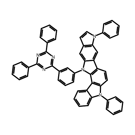 c1ccc(-c2nc(-c3ccccc3)nc(-c3cccc(-n4c5cc6ccn(-c7ccccc7)c6cc5c5ccc6c(c7ccccc7n6-c6ccccc6)c54)c3)n2)cc1